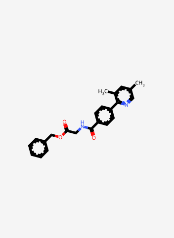 Cc1cnc(-c2ccc(C(=O)NCC(=O)OCc3ccccc3)cc2)c(C)c1